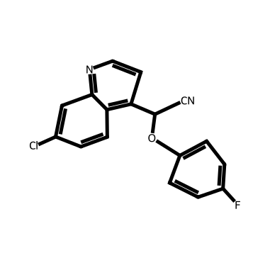 N#CC(Oc1ccc(F)cc1)c1ccnc2cc(Cl)ccc12